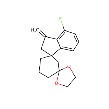 C=C1CC2(CCCC3(C2)OCCO3)c2cccc(F)c21